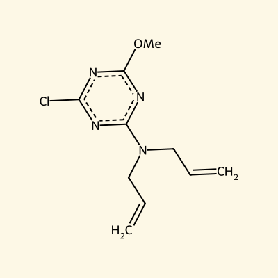 C=CCN(CC=C)c1nc(Cl)nc(OC)n1